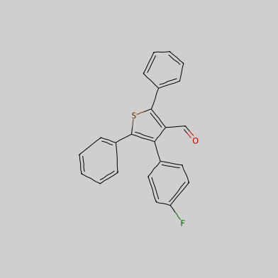 O=Cc1c(-c2ccccc2)sc(-c2ccccc2)c1-c1ccc(F)cc1